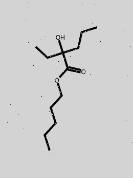 CCCCCOC(=O)C(O)(CC)CCC